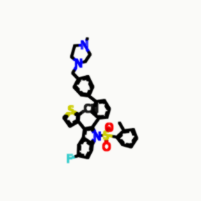 Cc1ccccc1S(=O)(=O)n1c(-c2cccc(-c3ccc(CN4CCN(C)CC4)cc3)c2)c(-c2ccsc2C#N)c2cc(F)ccc21